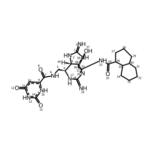 N=C1N[C@H]2[C@H](CNC(=O)c3cc(=O)[nH]c(=O)[nH]3)NC(=N)N3CC(NC(=O)C4CCCC5CCCCC54)[C@@H](O)[C@]23N1